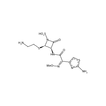 CON=C(C(=O)N[C@@H]1C(=O)N(S(=O)(=O)O)[C@@H]1SCCN)c1csc(N)n1